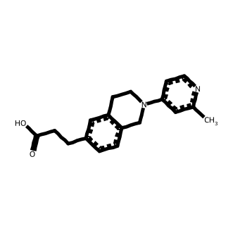 Cc1cc(N2CCc3cc(CCC(=O)O)ccc3C2)ccn1